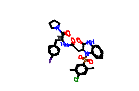 Cc1cc(S(=O)(=O)N2c3ccccc3NC(=O)C2CC(=O)N[C@@H](Cc2ccc(I)cc2)C(=O)N2CCCC2)c(C)cc1Cl